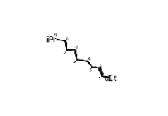 [CH2]C/C=C/CCCCCCC([CH2])C